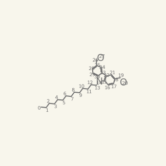 CCCCCCCCCCCCCCn1c2ccc(C=O)cc2c2cc(C=O)ccc21